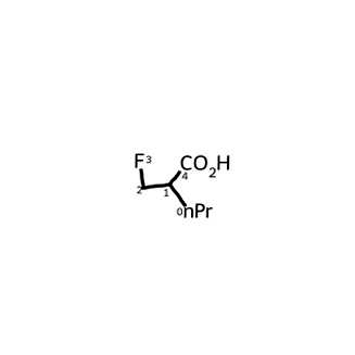 CCCC(CF)C(=O)O